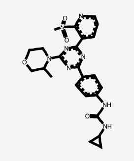 CC1COCCN1c1nc(-c2ccc(NC(=O)NC3CC3)cc2)nc(-c2cccnc2S(C)(=O)=O)n1